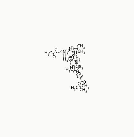 C=C(C)[C@@H]1CC[C@]2(CNCCNC(C)=O)CC[C@]3(C)[C@H](CC[C@@H]4[C@@]5(C)CC=C(c6ccc(C(=O)OC(C)(C)C)cc6)C(C)(C)[C@@H]5CC[C@]43C)[C@@H]12